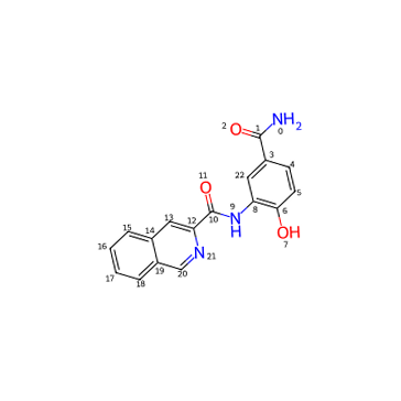 NC(=O)c1ccc(O)c(NC(=O)c2cc3ccccc3cn2)c1